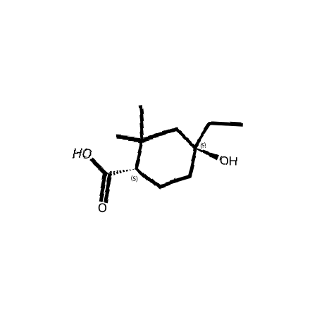 CC[C@]1(O)CC[C@H](C(=O)O)C(C)(C)C1